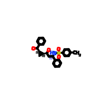 Cc1ccc(S(=O)(=O)N/C(=C\C(=O)[C@@H]2C[C@H]2C(=O)c2ccccc2)c2ccccc2)cc1